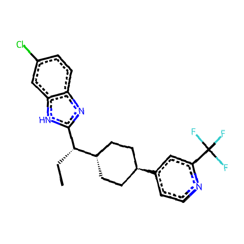 CC[C@H](c1nc2ccc(Cl)cc2[nH]1)[C@H]1CC[C@H](c2ccnc(C(F)(F)F)c2)CC1